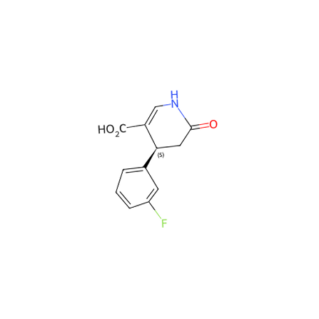 O=C1C[C@@H](c2cccc(F)c2)C(C(=O)O)=CN1